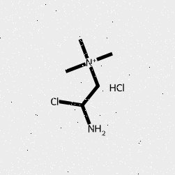 C[N+](C)(C)CC(N)Cl.Cl